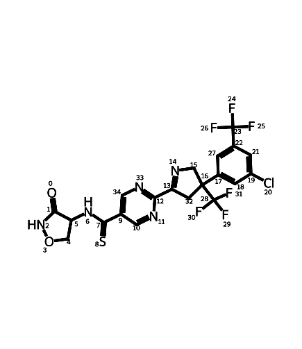 O=C1NOCC1NC(=S)c1cnc(C2=NCC(c3cc(Cl)cc(C(F)(F)F)c3)(C(F)(F)F)C2)nc1